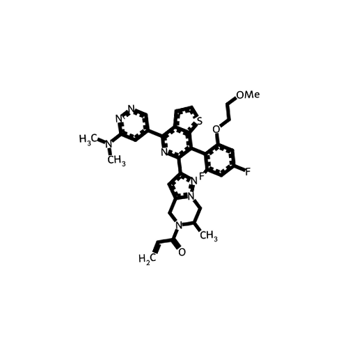 C=CC(=O)N1Cc2cc(-c3nc(-c4cnnc(N(C)C)c4)c4ccsc4c3-c3c(F)cc(F)cc3OCCOC)nn2CC1C